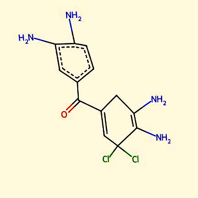 NC1=C(N)C(Cl)(Cl)C=C(C(=O)c2ccc(N)c(N)c2)C1